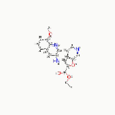 CCOC(=O)c1oc2cnccc2c1Nc1cnc2c(OC)cccc2c1